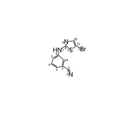 N#Cc1cccc(Nc2ncc(Br)s2)c1